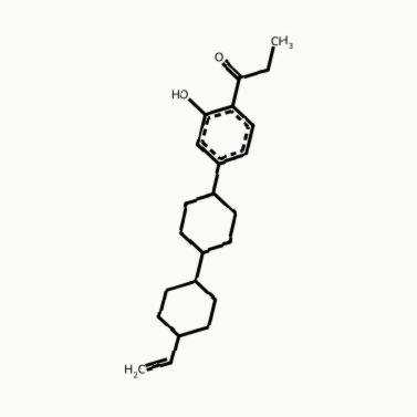 C=CC1CCC(C2CCC(c3ccc(C(=O)CC)c(O)c3)CC2)CC1